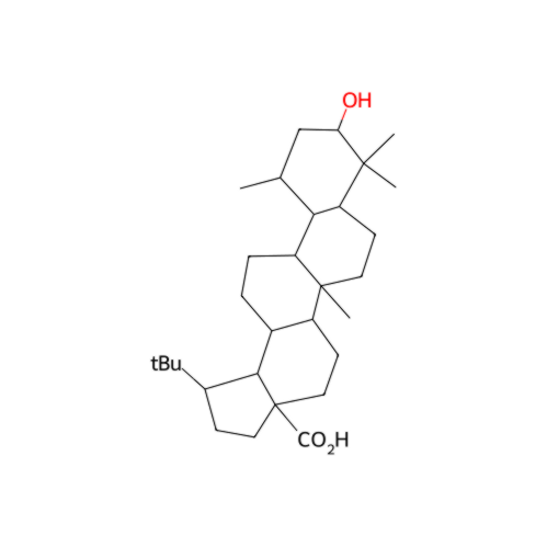 CC1CC(O)C(C)(C)C2CCC3(C)C4CCC5(C(=O)O)CCC(C(C)(C)C)C5C4CCC3C12